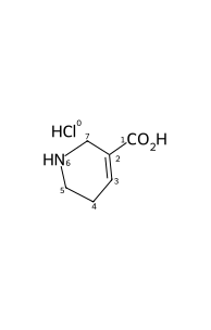 Cl.O=C(O)C1=CCCNC1